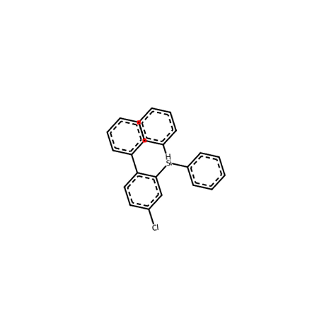 Clc1ccc(-c2ccccc2)c([SiH](c2ccccc2)c2ccccc2)c1